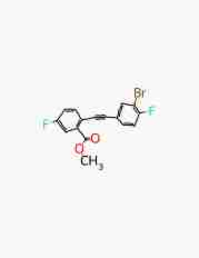 COC(=O)c1cc(F)ccc1C#Cc1ccc(F)c(Br)c1